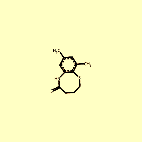 Cc1cc(C)c2c(c1)NC(=S)CCCS2